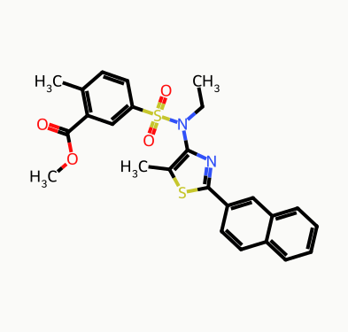 CCN(c1nc(-c2ccc3ccccc3c2)sc1C)S(=O)(=O)c1ccc(C)c(C(=O)OC)c1